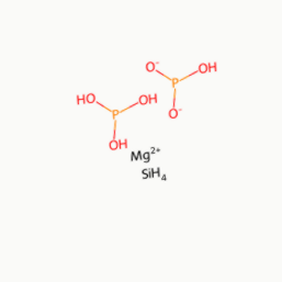 OP(O)O.[Mg+2].[O-]P([O-])O.[SiH4]